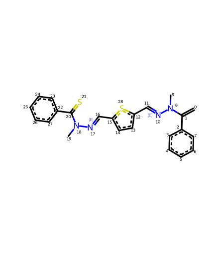 C=C(c1ccccc1)N(C)/N=C/c1ccc(/C=N/N(C)C(=S)c2ccccc2)s1